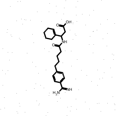 N=C(N)c1ccc(CCCCC(=O)NC(CC(=O)O)C2=CCCCC2)cc1